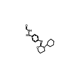 O=CNNc1ccc(/N=C2\OCCCN2C2CCCCC2)cc1